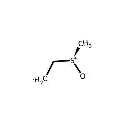 [CH2]C[S@@+](C)[O-]